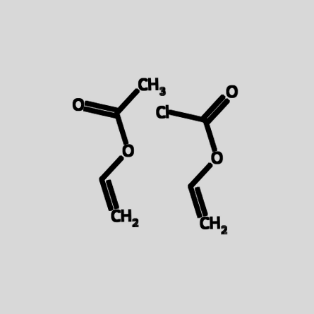 C=COC(=O)Cl.C=COC(C)=O